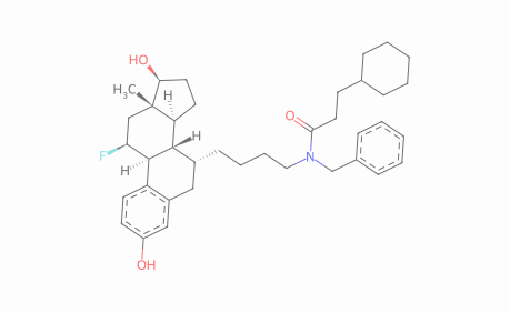 C[C@]12C[C@H](F)[C@@H]3c4ccc(O)cc4C[C@@H](CCCCN(Cc4ccccc4)C(=O)CCC4CCCCC4)[C@H]3[C@@H]1CC[C@@H]2O